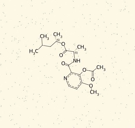 COc1ccnc(C(=O)N[C@@H](C)C(=O)O[C@@H](C)CC(C)C)c1OC(C)=O